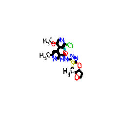 COc1cnc(Cl)c(F)c1-c1cc(C)ncc1C(=O)Nc1nnc(O[C@@H]2CCO[C@@H]2C)s1